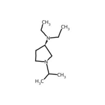 CCN(CC)[C@@H]1CCN(C(C)C)C1